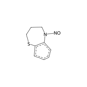 O=NN1CCCSc2ccccc21